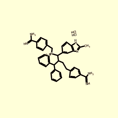 Cc1nc2cc(C(C(CCc3ccc(C(=N)N)cc3)C(c3ccccc3)c3ccccc3)N(Cc3ccc(C(=N)N)cc3)C(=O)O)ccc2[nH]1.Cl.Cl